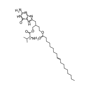 CCCCCCCCC=CCCCCCCCC(=O)OCCC(COC(=O)[C@@H](N)C(C)C)Cc1nc2nc(N)[nH]c(=O)c2[nH]1